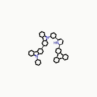 C1=CC(c2ccc3c4ccccc4c4ccccc4c3c2)NC(c2cccc(-n3c4ccccc4c4cc(-c5ccc6c(c5)c5ccccc5n6-c5ccccc5)ccc43)c2)=C1